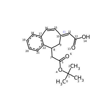 CC(C)(C)OC(=O)CC1C/C(=C\C(=O)O)C=Cc2ccccc21